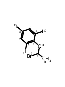 CC(Br)Oc1c(I)cc(I)cc1I